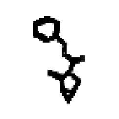 O=C(OCc1ccccc1)N1CC2CC2C1=O